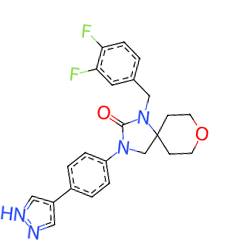 O=C1N(c2ccc(-c3cn[nH]c3)cc2)CC2(CCOCC2)N1Cc1ccc(F)c(F)c1